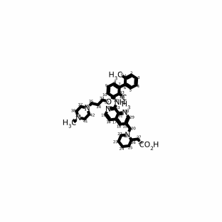 Cc1ccccc1C1=CC=CC(Nc2nccc3cc(CN4CCCCC4CC(=O)O)cnc23)(OCCCN2CCN(C)CC2)C1C